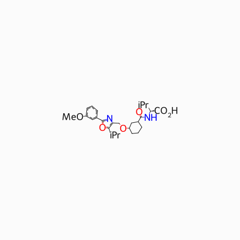 COc1cccc(-c2nc(COC3CCCC(C(=O)N[C@H](C(=O)O)C(C)C)C3)c(C(C)C)o2)c1